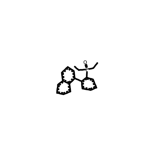 CCP(=O)(CC)c1ccccc1-c1cccc2ccccc12